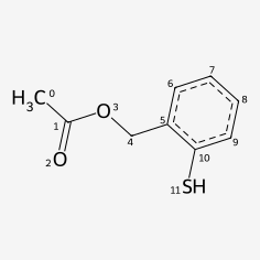 CC(=O)OCc1ccccc1S